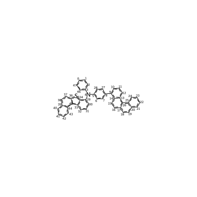 c1ccc(N(c2ccc(-c3cccc4c3ccc3ccc5ccccc5c34)cc2)c2cccc3c2sc2ccc4ccccc4c23)cc1